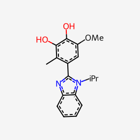 COc1cc(-c2nc3ccccc3n2C(C)C)c(C)c(O)c1O